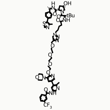 Cc1ncc(NC(=O)c2cccc(C(F)(F)F)c2)cc1-c1cnc(OCCOCCOCCOCc2cn(CCCCC(=O)N[C@@H](C(=O)N3C[C@H](O)C[C@H]3C(=O)N[C@@H](C)c3ccc(-c4scnc4C)cc3)C(C)(C)C)nn2)c(N2CCOCC2)c1